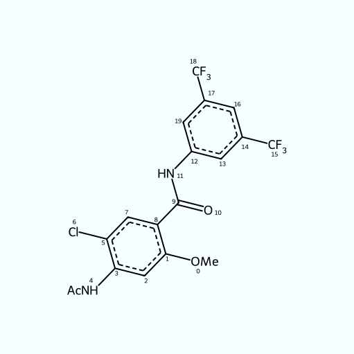 COc1cc(NC(C)=O)c(Cl)cc1C(=O)Nc1cc(C(F)(F)F)cc(C(F)(F)F)c1